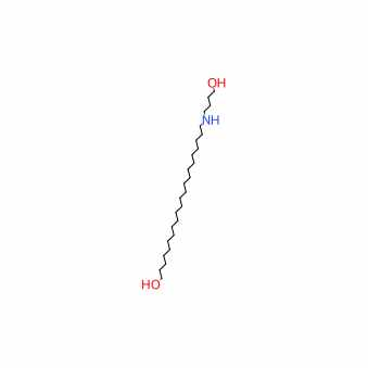 OCCCCCCCCCCCCCCCCCCCCCCNCCCCO